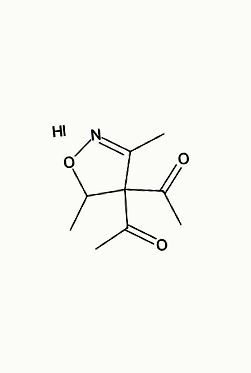 CC(=O)C1(C(C)=O)C(C)=NOC1C.I